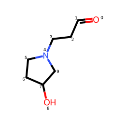 O=CCCN1CCC(O)C1